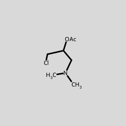 CC(=O)OC(CCl)CN(C)C